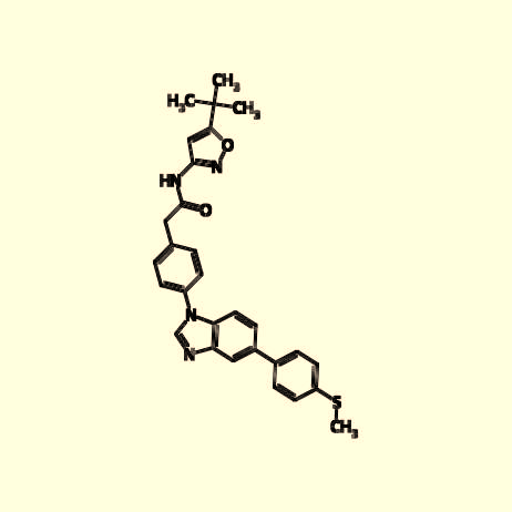 CSc1ccc(-c2ccc3c(c2)ncn3-c2ccc(CC(=O)Nc3cc(C(C)(C)C)on3)cc2)cc1